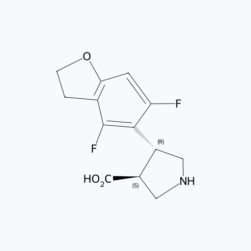 O=C(O)[C@@H]1CNC[C@H]1c1c(F)cc2c(c1F)CCO2